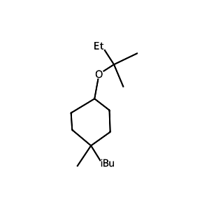 CCC(C)C1(C)CCC(OC(C)(C)CC)CC1